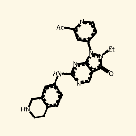 CCn1c(=O)c2cnc(Nc3ccc4c(c3)CNCC4)nc2n1-c1ccnc(C(C)=O)c1